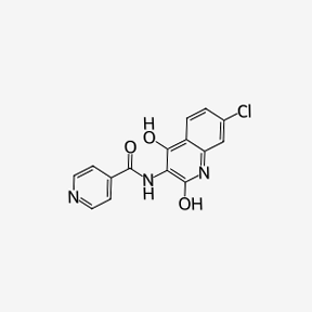 O=C(Nc1c(O)nc2cc(Cl)ccc2c1O)c1ccncc1